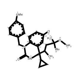 COc1ccc(CN2C(=O)NC(C(C)CC(C)(O[SiH3])C(C)(C)C)(C3CC3)c3cc(Cl)ccc32)cc1